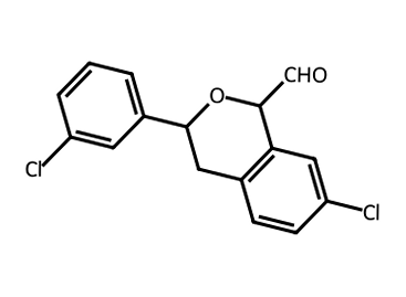 O=CC1OC(c2cccc(Cl)c2)Cc2ccc(Cl)cc21